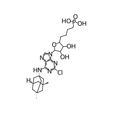 C[C@]12C[C@@H]3C[C@](C)(C1)C[C@@](Nc1nc(Cl)nc4c1ncn4C1OC(CCCCP(=O)(O)O)C(O)C1O)(C3)C2